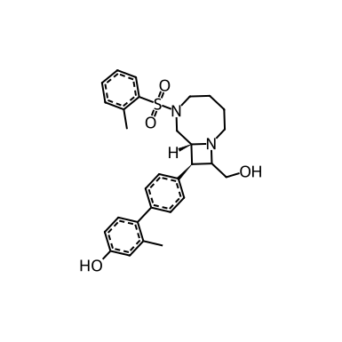 Cc1cc(O)ccc1-c1ccc([C@@H]2C(CO)N3CCCCN(S(=O)(=O)c4ccccc4C)C[C@@H]23)cc1